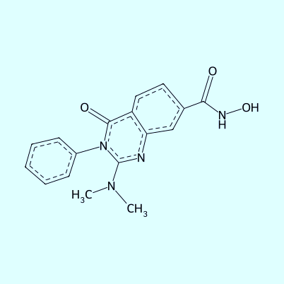 CN(C)c1nc2cc(C(=O)NO)ccc2c(=O)n1-c1ccccc1